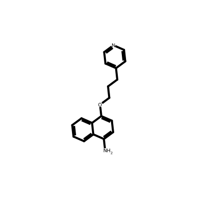 Nc1ccc(OCCCc2ccncc2)c2ccccc12